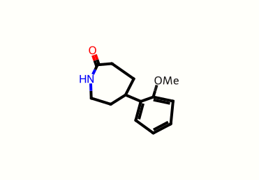 COc1ccccc1C1CCNC(=O)CC1